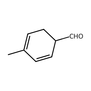 CC1=CCC(C=O)C=C1